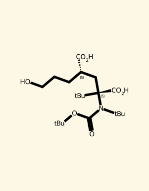 CC(C)(C)OC(=O)N(C(C)(C)C)[C@](C[C@H](CCCO)C(=O)O)(C(=O)O)C(C)(C)C